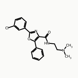 CN(C)CCNC(=O)c1nc(-c2cccc(Cl)c2)oc1-c1ccccc1